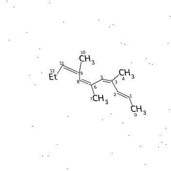 CC=CC(C)=CC(C)=CC(C)=CCC